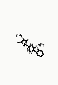 CCCc1c(C)nn(-c2nnc3c4ccccc4n(CCC)c3n2)c1C